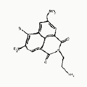 NCCN1C(=O)c2cc([N+](=O)[O-])cc3c(Br)c([N+](=O)[O-])cc(c23)C1=O